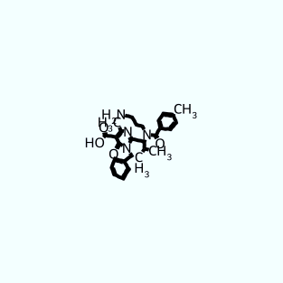 Cc1ccc(C(=O)N(CCCN)C(c2nc(C)c(C(=O)O)c(=O)n2Cc2ccccc2)C(C)C)cc1